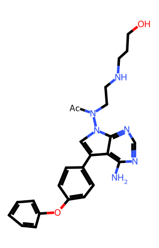 CC(=O)N(CCNCCCO)n1cc(-c2ccc(Oc3ccccc3)cc2)c2c(N)ncnc21